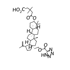 C=C(C)[C@@H]1CC[C@]2(CCOC(=O)c3nnn[nH]3)CC[C@]3(C)[C@H](CC[C@@H]4[C@@]5(C)CC[C@H](OC(=O)CC(C)(C)CC(=O)O)C(C)(C)[C@@H]5CC[C@]43C)[C@@H]12